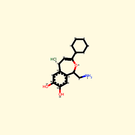 Cl.NCC1OC(C2CCCCC2)=CCc2cc(O)c(O)cc21